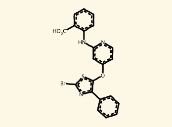 O=C(O)c1ccccc1Nc1cc(Oc2sc(Br)nc2-c2ccccc2)ccn1